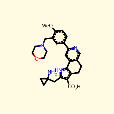 COc1ccc(-c2cc3c(cn2)CCc2c-3[nH]c(CC3(N)CC3)c2C(=O)O)cc1CN1CCOCC1